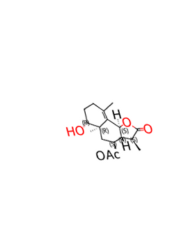 CC(=O)O[C@H]1C[C@]2(C)C(=C(C)CC[C@H]2O)[C@H]2OC(=O)[C@@H](C)[C@H]12